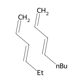 C=CC=CCC.C=CC=CCCCC